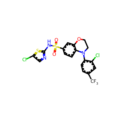 O=S(=O)(Nc1ncc(Cl)s1)c1ccc2c(c1)OCCN2c1ccc(C(F)(F)F)cc1Cl